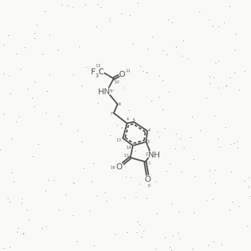 O=C1Nc2ccc(CCNC(=O)C(F)(F)F)cc2C1=O